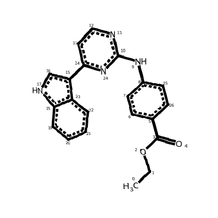 CCOC(=O)c1ccc(Nc2nccc(-c3c[nH]c4ccccc34)n2)cc1